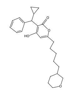 O=c1oc(CCCCCC2CCCOC2)cc(O)c1C(c1ccccc1)C1CC1